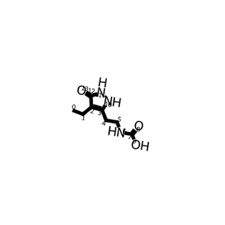 CCc1c(CCNC(=O)O)[nH][nH]c1=O